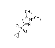 Cc1cc(S(=O)(=O)C2CC2)nn1C